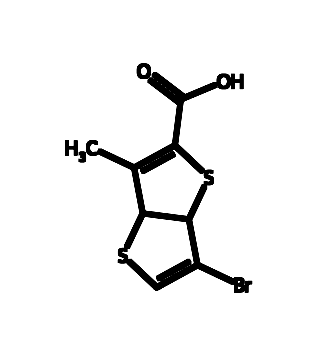 CC1=C(C(=O)O)SC2C(Br)=CSC12